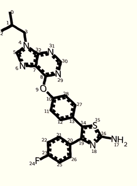 CC(C)Cn1cnc2c(Oc3ccc(-c4sc(N)nc4-c4ccc(F)cc4)cc3)ncnc21